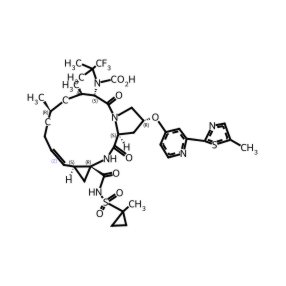 Cc1cnc(-c2cc(O[C@@H]3C[C@H]4C(=O)N[C@]5(C(=O)NS(=O)(=O)C6(C)CC6)C[C@H]5/C=C\CC[C@@H](C)C[C@@H](C)[C@H](N(C(=O)O)C(C)(C)C(F)(F)F)C(=O)N4C3)ccn2)s1